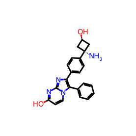 N[C@]1(c2ccc(-c3nc4nc(O)ccn4c3-c3ccccc3)cc2)C[C@@H](O)C1